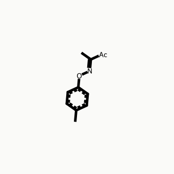 CC(=O)C(C)=NOc1ccc(C)cc1